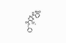 COc1ccccc1Nc1ncc(C(=O)OCc2ccccc2)c(C(F)(F)F)n1